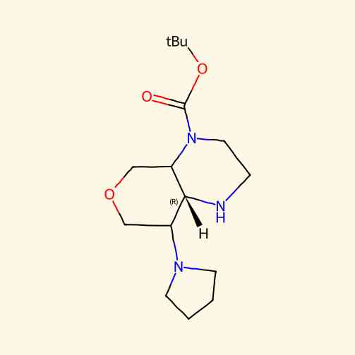 CC(C)(C)OC(=O)N1CCN[C@@H]2C(N3CCCC3)COCC21